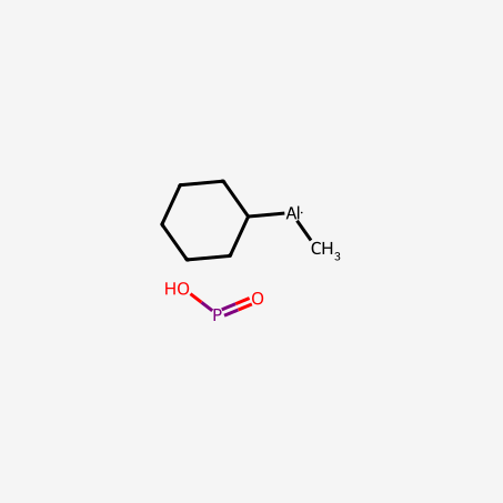 O=PO.[CH3][Al][CH]1CCCCC1